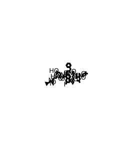 CCOCCC(C(=O)NC(COc1ccc2ncc(F)cc2c1C(=O)NC(CC(=O)O)C(=O)NCCc1nc(C2CC2)no1)Cc1ccccc1)N(C)C(=O)C(CC(C)C)N(C)C(=O)OC(C)(C)C